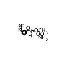 CC(OCCNC(=O)c1cccc(N=[N+]=[N-])c1)OC(N)=O